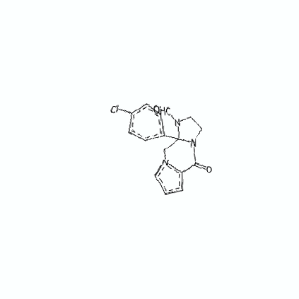 O=CN1CCN2C(=O)c3cccn3CC12c1ccc(Cl)cc1